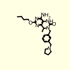 CCCCOc1nc(N)c2c(n1)C(C)N(Cc1cccc(CN3CCCC3)c1)C(=O)N2